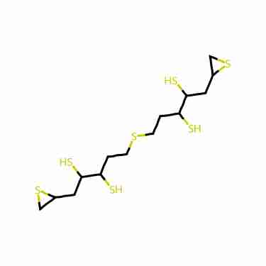 SC(CCSCCC(S)C(S)CC1CS1)C(S)CC1CS1